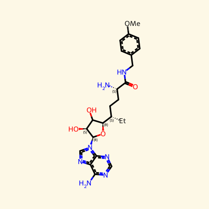 CC[C@@H](CC[C@H](N)C(=O)NCc1ccc(OC)cc1)[C@H]1O[C@@H](n2cnc3c(N)ncnc32)[C@@H](O)C1O